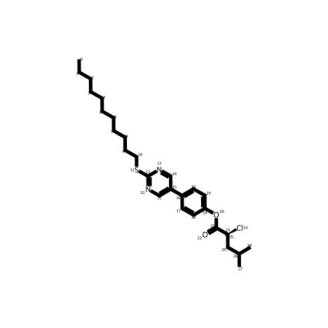 CCCCCCCCCCCSc1ncc(-c2ccc(OC(=O)[C@@H](Cl)CC(C)C)cc2)cn1